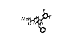 CNC(=O)c1cnc2c(-c3cc(F)cc(F)c3)nn(Cc3ccccc3)c2n1